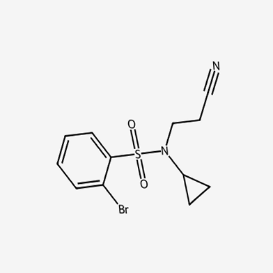 N#CCCN(C1CC1)S(=O)(=O)c1ccccc1Br